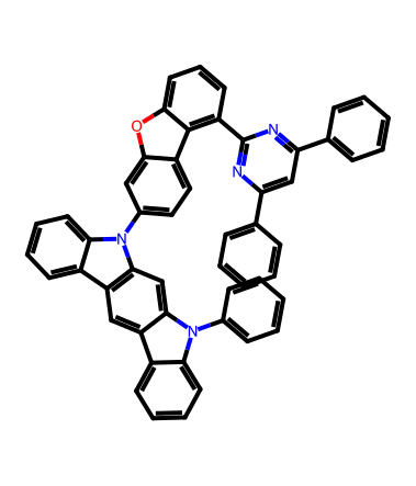 c1ccc(-c2cc(-c3ccccc3)nc(-c3cccc4oc5cc(-n6c7ccccc7c7cc8c9ccccc9n(-c9ccccc9)c8cc76)ccc5c34)n2)cc1